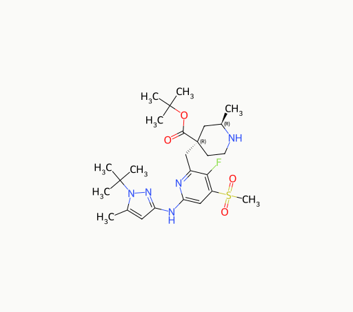 Cc1cc(Nc2cc(S(C)(=O)=O)c(F)c(C[C@@]3(C(=O)OC(C)(C)C)CCN[C@H](C)C3)n2)nn1C(C)(C)C